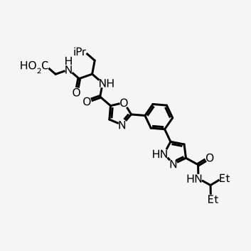 CCC(CC)NC(=O)c1cc(-c2cccc(-c3ncc(C(=O)NC(CC(C)C)C(=O)NCC(=O)O)o3)c2)[nH]n1